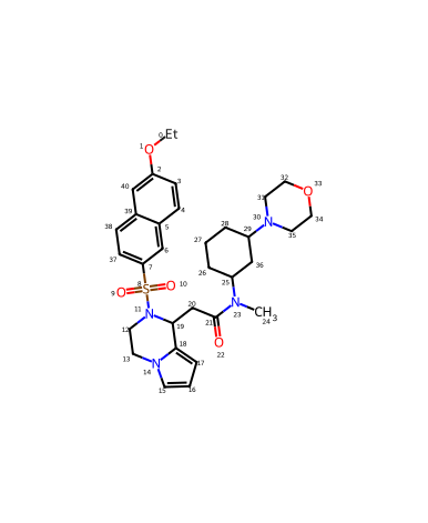 CCOc1ccc2cc(S(=O)(=O)N3CCn4cccc4C3CC(=O)N(C)C3CCCC(N4CCOCC4)C3)ccc2c1